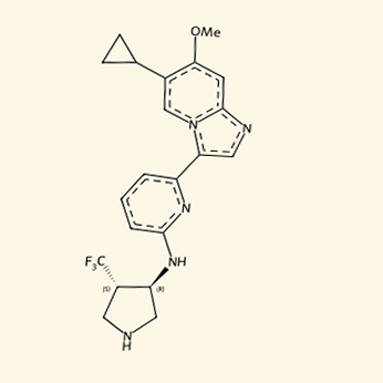 COc1cc2ncc(-c3cccc(N[C@H]4CNC[C@@H]4C(F)(F)F)n3)n2cc1C1CC1